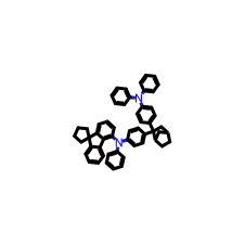 c1ccc(N(c2ccccc2)c2ccc(C3(c4ccc(N(c5ccccc5)c5cccc6c5-c5ccccc5C65CCCC5)cc4)CC4CCC3C4)cc2)cc1